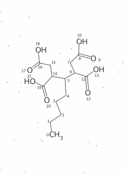 CCCCCC(C(CC(=O)O)C(=O)O)C(CC(=O)O)C(=O)O